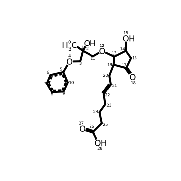 CC(O)(COc1ccccc1)COC1C(O)CC(=O)C1C/C=C/CCCC(=O)O